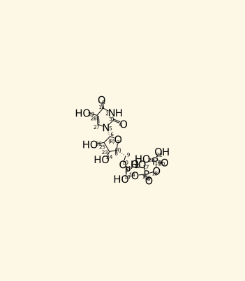 O=c1[nH]c(=O)n([C@@H]2O[C@H](COP(=O)(O)OP(=O)(O)OP(=O)(O)O)C(O)C2O)cc1O